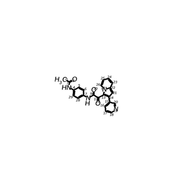 CC(=O)Nc1ccc(NC(=O)C(=O)c2c(-c3cccnc3)cc3ccccn23)cc1